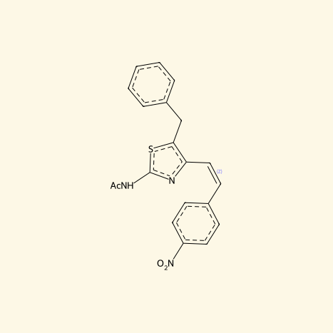 CC(=O)Nc1nc(/C=C\c2ccc([N+](=O)[O-])cc2)c(Cc2ccccc2)s1